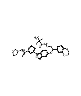 CC(F)(F)C(=O)NCCC(Oc1ccc2c(cnn2-c2cccc(C(=O)NC3CCOC3)c2)c1)c1ccc2c(c1)OCCO2